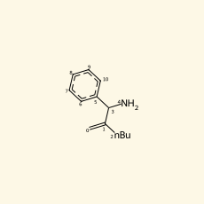 C=C(CCCC)C(N)c1ccccc1